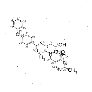 CC(=C(CCO)SC(=O)c1ccc(Oc2ccccc2)cc1)N(C=O)Cc1cnc(C)nc1N